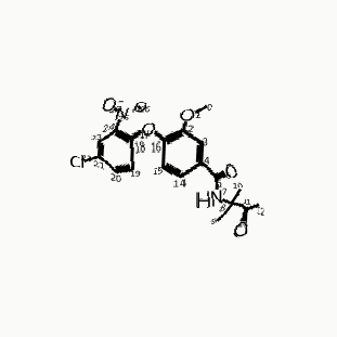 COc1cc(C(=O)NC(C)(C)C(C)=O)ccc1Oc1ccc(Cl)cc1[N+](=O)[O-]